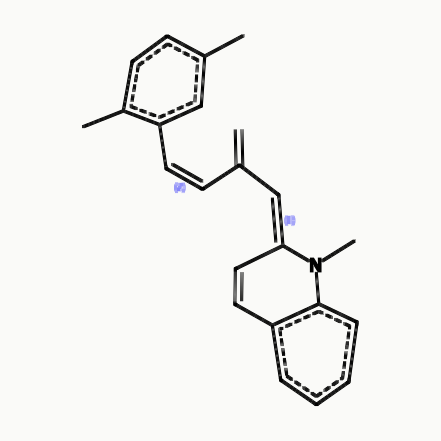 C=C(/C=C\c1cc(C)ccc1C)/C=C1\C=Cc2ccccc2N1C